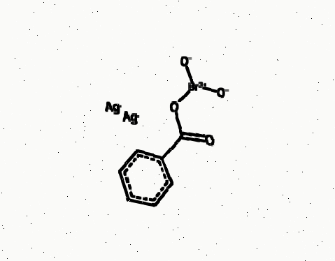 O=C(O[Br+2]([O-])[O-])c1ccccc1.[Ag].[Ag]